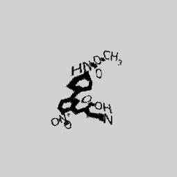 CCOC(=O)Nc1ccc(-c2ccc([N+](=O)[O-])c(C=C(CC#N)C(=O)O)c2)cc1